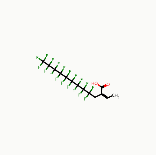 CC=C(CC(F)(F)C(F)(F)C(F)(F)C(F)(F)C(F)(F)C(F)(F)C(F)(F)C(F)(F)C(F)(F)F)C(=O)O